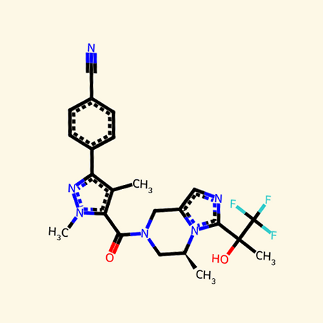 Cc1c(-c2ccc(C#N)cc2)nn(C)c1C(=O)N1Cc2cnc(C(C)(O)C(F)(F)F)n2[C@@H](C)C1